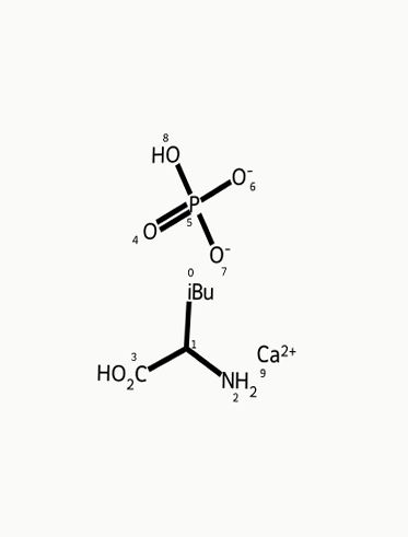 CCC(C)C(N)C(=O)O.O=P([O-])([O-])O.[Ca+2]